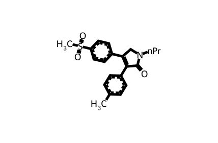 CCCN1CC(c2ccc(S(C)(=O)=O)cc2)=C(c2ccc(C)cc2)C1=O